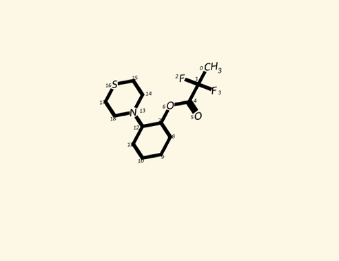 CC(F)(F)C(=O)OC1CCCCC1N1CCSCC1